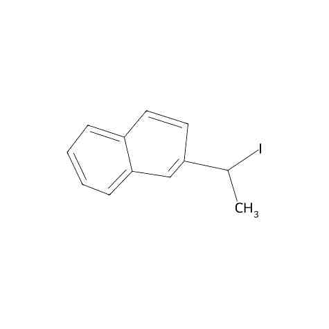 CC(I)c1ccc2ccccc2c1